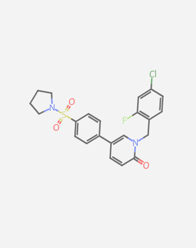 O=c1ccc(-c2ccc(S(=O)(=O)N3CCCC3)cc2)cn1Cc1ccc(Cl)cc1F